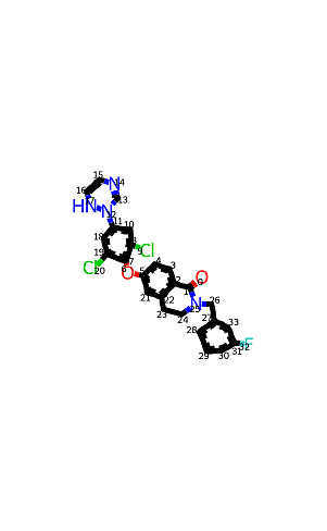 O=C1c2ccc(Oc3c(Cl)cc(N4C=NC=CN4)cc3Cl)cc2CCN1Cc1cccc(F)c1